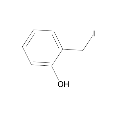 Oc1ccccc1CI